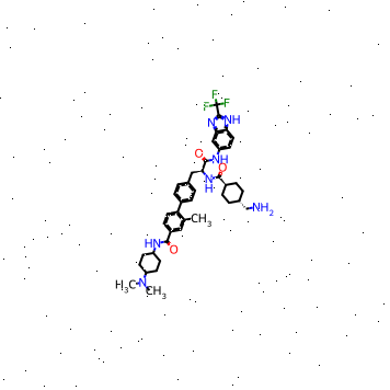 Cc1cc(C(=O)NC2CCC(N(C)C)CC2)ccc1-c1ccc(C[C@H](NC(=O)[C@H]2CC[C@H](CN)CC2)C(=O)Nc2ccc3[nH]c(C(F)(F)F)nc3c2)cc1